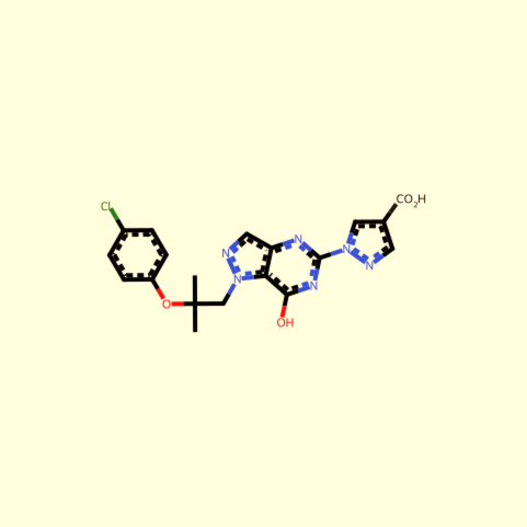 CC(C)(Cn1ncc2nc(-n3cc(C(=O)O)cn3)nc(O)c21)Oc1ccc(Cl)cc1